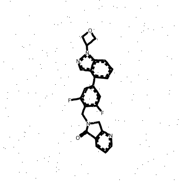 O=C1c2cccnc2CN1Cc1c(F)cc(-c2cccc3c2cnn3C2COC2)cc1F